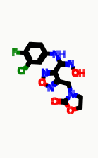 O=C1OCCN1Cc1nonc1/C(=N\O)Nc1ccc(F)c(Cl)c1